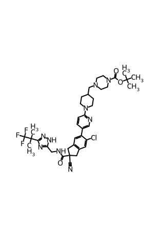 CC(C)(C)OC(=O)N1CCN(CC2CCN(c3ccc(-c4cc5c(cc4Cl)CC(C#N)(C(=O)NCc4nc(C(C)(C)C(F)(F)F)n[nH]4)C5)cn3)CC2)CC1